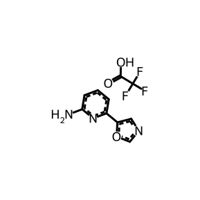 Nc1cccc(-c2cnco2)n1.O=C(O)C(F)(F)F